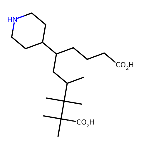 CC(CC(CCCC(=O)O)C1CCNCC1)C(C)(C)C(C)(C)C(=O)O